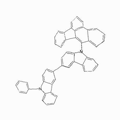 c1ccc(-n2c3ccccc3c3cc(-c4ccc5c(c4)c4ccccc4n5-c4c5c6c(cccc6c6ccccc46)-c4ccccc4-5)ccc32)cc1